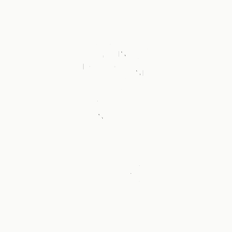 CC1(C2(CCC(=O)N3Cc4ccc(C(F)(F)F)cc4C3)NC(=O)NC2=O)CC1